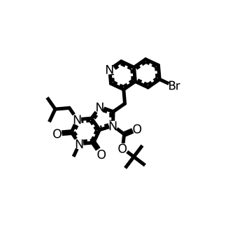 CC(C)Cn1c(=O)n(C)c(=O)c2c1nc(Cc1cncc3ccc(Br)cc13)n2C(=O)OC(C)(C)C